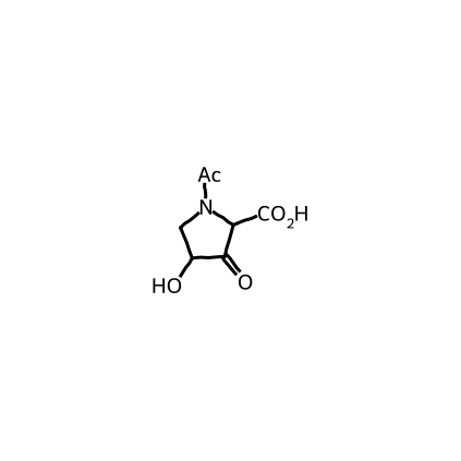 CC(=O)N1CC(O)C(=O)C1C(=O)O